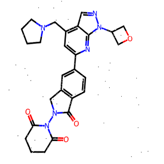 O=C1c2ccc(-c3cc(CN4CCCC4)c4cnn(C5COC5)c4n3)cc2CN1N1C(=O)CCCC1=O